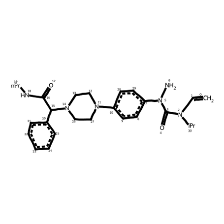 C=CN(C(=O)N(N)c1ccc(N2CCN(C(C(=O)NCCC)c3ccccc3)CC2)cc1)C(C)C